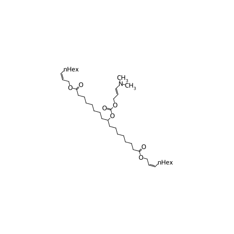 CCCCCC/C=C\COC(=O)CCCCCCCC(CCCCCCCC(=O)OC/C=C\CCCCCC)OC(=O)OC/C=C/N(C)C